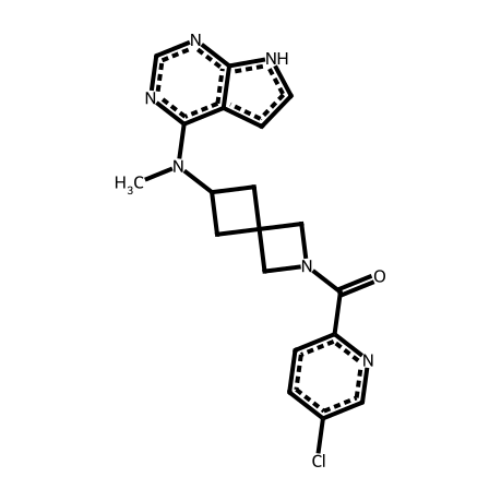 CN(c1ncnc2[nH]ccc12)C1CC2(C1)CN(C(=O)c1ccc(Cl)cn1)C2